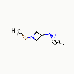 CNC1CN(SC)C1